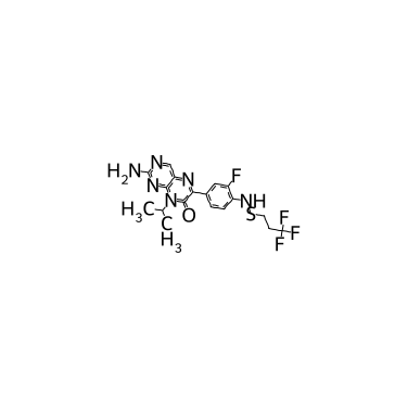 CC(C)n1c(=O)c(-c2ccc(NSCCC(F)(F)F)c(F)c2)nc2cnc(N)nc21